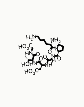 C[C@@H](O)[C@H](NC(=O)[C@H](CC(=O)O)NC(=O)CNC(=O)[C@@H]1CCCN1C(=O)[C@@H](N)CCCCN)C(=O)NCC(=O)O